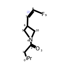 CC(C)CC(=O)N1CC(/C=C\F)C1